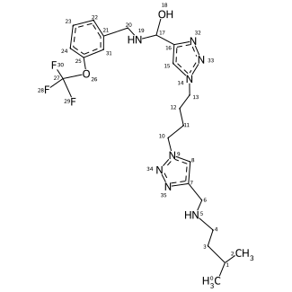 CC(C)CCNCc1cn(CCCCn2cc(C(O)NCc3cccc(OC(F)(F)F)c3)nn2)nn1